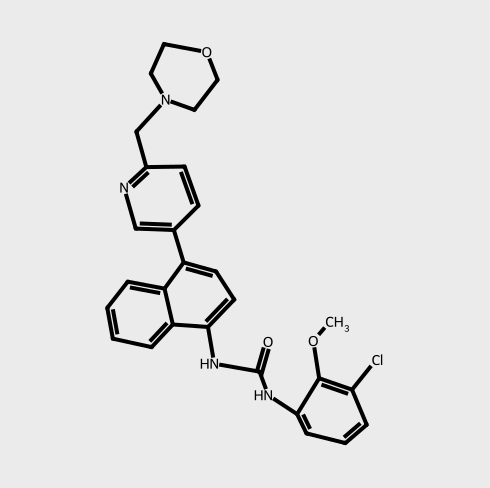 COc1c(Cl)cccc1NC(=O)Nc1ccc(-c2ccc(CN3CCOCC3)nc2)c2ccccc12